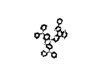 C1=CCC(N(c2ccccc2)c2ccc3c(c2)Oc2cc(N(c4ccccc4)c4ccccc4)ccc2N3c2ccc3c4nccnc4c4cc(-c5ccccc5)cnc4c3n2)C=C1